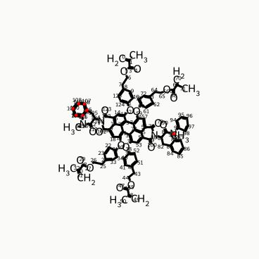 C=C(C)C(=O)OCCc1ccc(Oc2cc3c4c(cc(Oc5ccc(CCOC(=O)C(=C)C)cc5)c5c6c(Oc7ccc(CCOC(=O)C(=C)C)cc7)cc7c8c(cc(Oc9ccc(CCOC(=O)C(=C)C)cc9)c(c2c45)c86)C(=O)N(C(Cc2ccccc2)C(=O)N(C)c2ccccc2)C7=O)C(=O)N(C(Cc2ccccc2)C(=O)N(C)c2ccccc2)C3=O)cc1